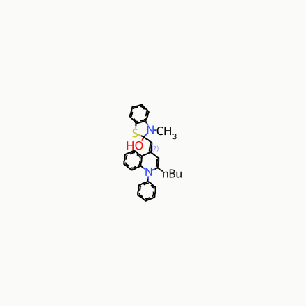 CCCCC1=C/C(=C/C2(O)Sc3ccccc3N2C)c2ccccc2N1c1ccccc1